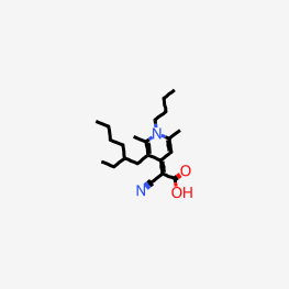 CCCCC(CC)CC1=C(C)N(CCCC)C(C)=CC1=C(C#N)C(=O)O